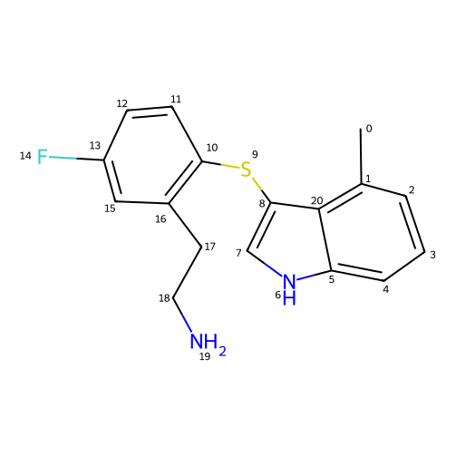 Cc1cccc2[nH]cc(Sc3ccc(F)cc3CCN)c12